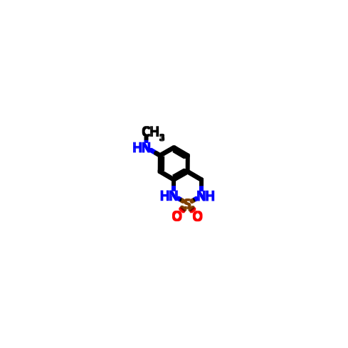 CNc1ccc2c(c1)NS(=O)(=O)NC2